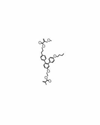 C=C(C)C(=O)OCCOc1ccc(-c2ccc(CCCOC(=O)C(=C)COC)cc2)c(-c2ccc(OCCCC)cc2)c1